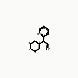 O=[C]C(c1ccccn1)C1CCCCC1